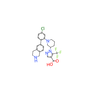 O=C(O)c1cnn(C2CCCN(c3cc(Cl)ccc3-c3ccc4c(c3)CCNC4)C2)c1C(F)(F)F